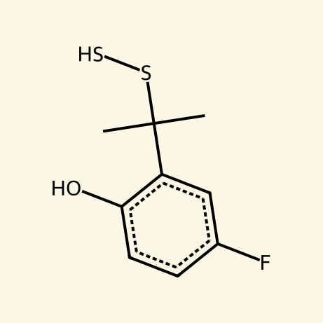 CC(C)(SS)c1cc(F)ccc1O